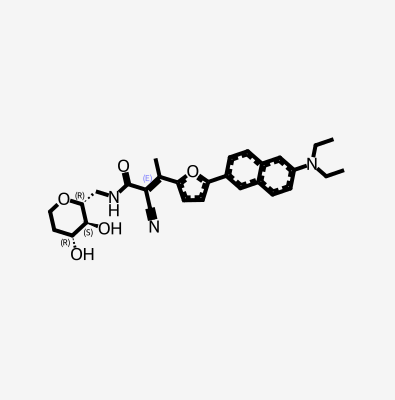 CCN(CC)c1ccc2cc(-c3ccc(/C(C)=C(\C#N)C(=O)NC[C@H]4OCC[C@@H](O)[C@@H]4O)o3)ccc2c1